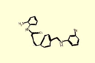 Nc1ccccc1NC(=O)/C=C\c1ccc(CNc2cccc(Br)c2)cc1